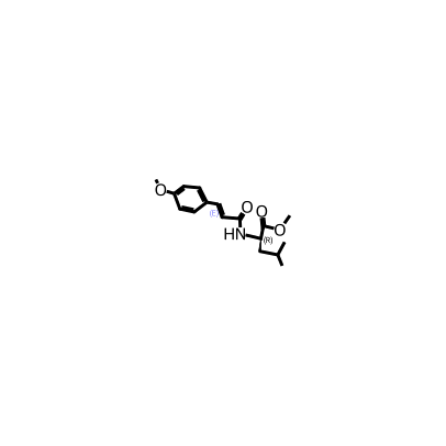 COC(=O)[C@@H](CC(C)C)NC(=O)/C=C/c1ccc(OC)cc1